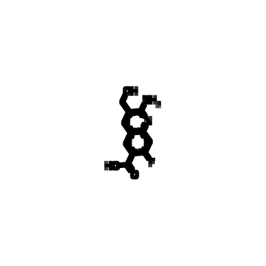 Nc1nc2cc(F)c(C(=O)O)cc2cc1CO